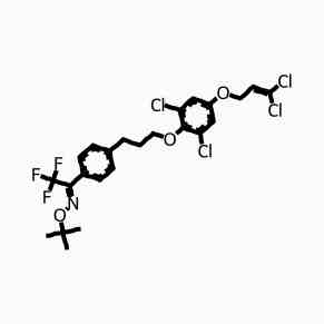 CC(C)(C)ON=C(c1ccc(CCCOc2c(Cl)cc(OCC=C(Cl)Cl)cc2Cl)cc1)C(F)(F)F